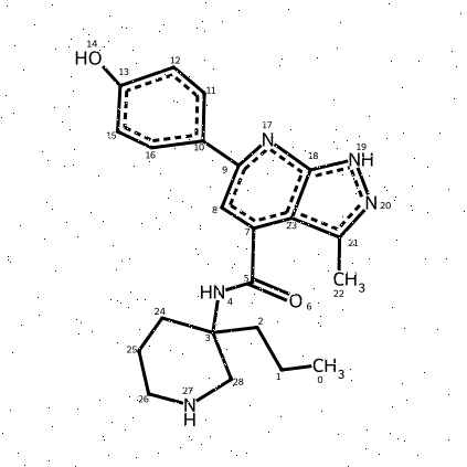 CCCC1(NC(=O)c2cc(-c3ccc(O)cc3)nc3[nH]nc(C)c23)CCCNC1